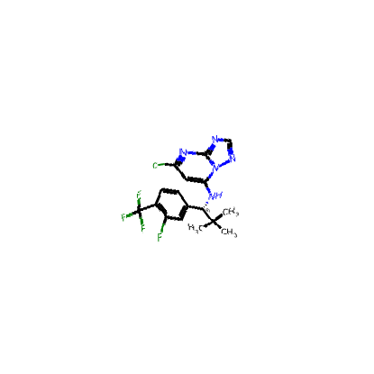 CC(C)(C)[C@@H](Nc1cc(Cl)nc2ncnn12)c1ccc(C(F)(F)F)c(F)c1